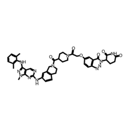 Cc1cccc(C)c1Nc1nn(C)c2nc(Nc3ccc4c(c3)CN(C(=O)C3CCN(C(=O)COc5ccc6nnn(C7CCC(=O)NC7=O)c(=O)c6c5)CC3)CC4)ncc12